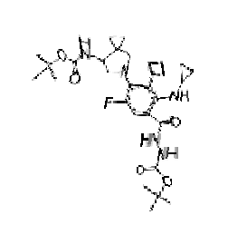 CC(C)(C)OC(=O)NNC(=O)c1cc(F)c(N2CC(NC(=O)OC(C)(C)C)C3(CC3)C2)c(Cl)c1NC1CC1